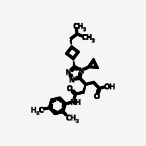 Cc1ccc(NC(=O)C[C@H](CC(=O)O)c2nnc([C@H]3C[C@@H](CC(C)C)C3)n2C2CC2)c(C)c1